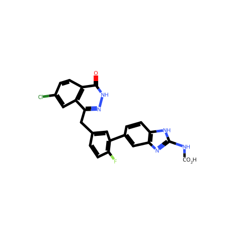 O=C(O)Nc1nc2cc(-c3cc(Cc4n[nH]c(=O)c5ccc(Cl)cc45)ccc3F)ccc2[nH]1